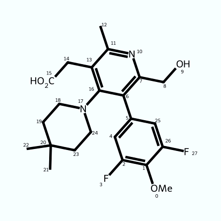 COc1c(F)cc(-c2c(CO)nc(C)c(CC(=O)O)c2N2CCC(C)(C)CC2)cc1F